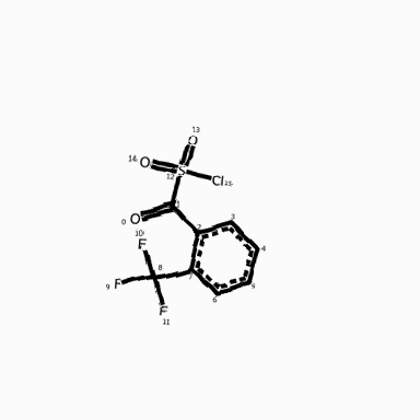 O=C(c1ccccc1C(F)(F)F)S(=O)(=O)Cl